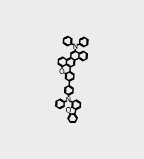 c1ccc(N(c2ccccc2)c2cc3c4cccc5c4c(cc3c3ccccc23)-c2ccc(-c3ccc(N(c4ccccc4)c4cccc6c4oc4ccccc46)cc3)cc2O5)cc1